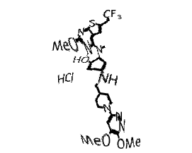 COc1nc(N(C)[C@H]2C[C@@H](NCC3CCN(c4cc(OC)c(OC)nn4)CC3)C[C@H]2O)c2cc(CC(F)(F)F)sc2n1.Cl